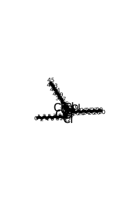 CCCCCCCCCCCC(Cl)(Cl)OP(OC(Cl)(Cl)CCCCCCCCCCC)OC(Cl)(Cl)CCCCCCCCCCC